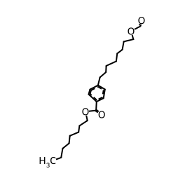 CCCCCCCCOC(=O)c1ccc(CCCCCCCCOC=O)cc1